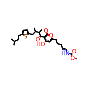 COC(=O)N/C=C/CCCc1cc(O)c(C(=O)C(C)C(C)Cc2ccc(CCC(C)C)s2)c(=O)o1